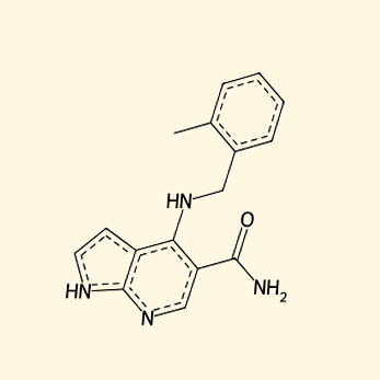 Cc1ccccc1CNc1c(C(N)=O)cnc2[nH]ccc12